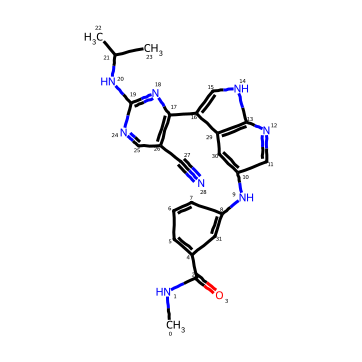 CNC(=O)c1cccc(Nc2cnc3[nH]cc(-c4nc(NC(C)C)ncc4C#N)c3c2)c1